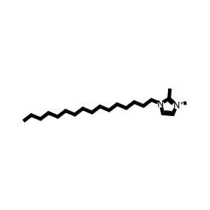 CCCCCCCCCCCCCCCCn1cc[n+](C)c1C